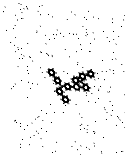 C1=CC(c2ccc(N(c3ccc(-c4ccccc4)cc3)c3cccc(-c4ccccc4)c3)cc2)CC=C1c1ccccc1-n1c2ccccc2c2ccc(-c3ccccc3)cc21